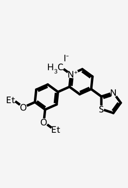 CCOc1ccc(-c2cc(-c3nccs3)cc[n+]2C)cc1OCC.[I-]